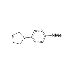 CNc1ccc(N2CC=CC2)cc1